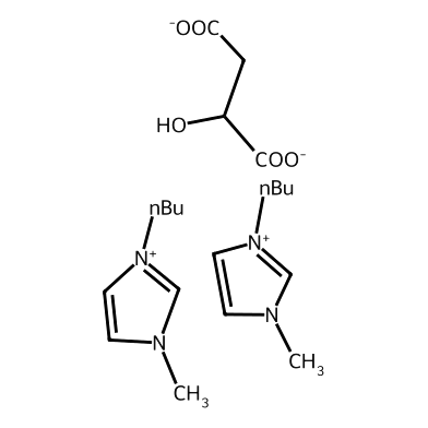 CCCC[n+]1ccn(C)c1.CCCC[n+]1ccn(C)c1.O=C([O-])CC(O)C(=O)[O-]